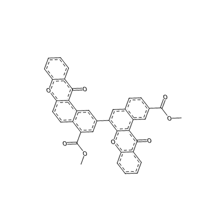 COC(=O)c1ccc2cc(-c3cc(C(=O)OC)c4ccc5oc6ccccc6c(=O)c5c4c3)c3oc4ccccc4c(=O)c3c2c1